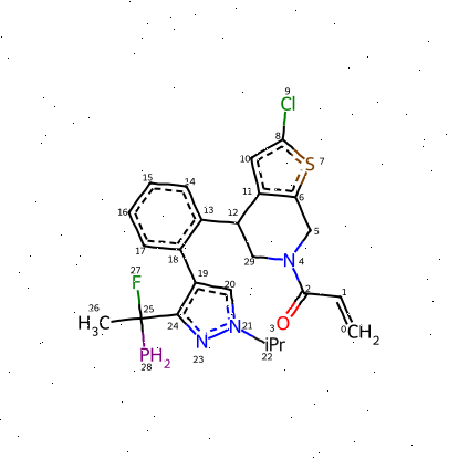 C=CC(=O)N1Cc2sc(Cl)cc2C(c2ccccc2-c2cn(C(C)C)nc2C(C)(F)P)C1